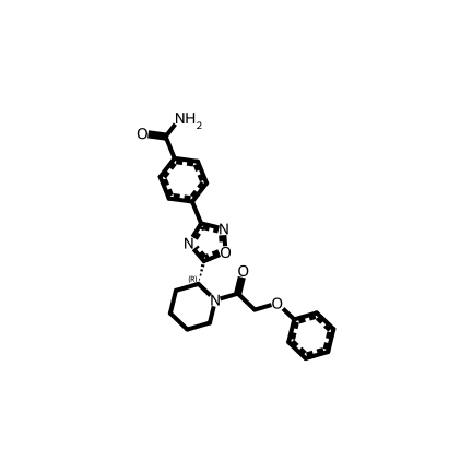 NC(=O)c1ccc(-c2noc([C@H]3CCCCN3C(=O)COc3ccccc3)n2)cc1